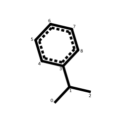 C[C](C)c1ccccc1